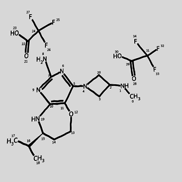 CNC1CN(c2nc(N)nc3c2OCC[C@@H](C(C)C)N3)C1.O=C(O)C(F)(F)F.O=C(O)C(F)(F)F